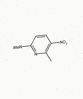 CNc1ccc([N+](=O)[O-])c(C)n1